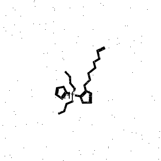 C=CCCCCCCC1=[C]([Hf]([CH2]CCC)([CH2]CCC)[C]2=CC=CC2)CC=C1